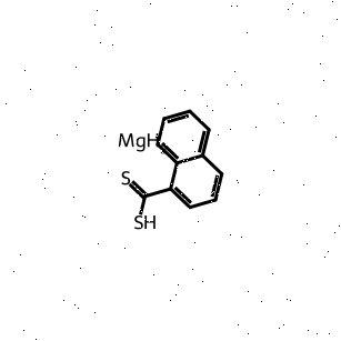 S=C(S)c1cccc2ccccc12.[MgH2]